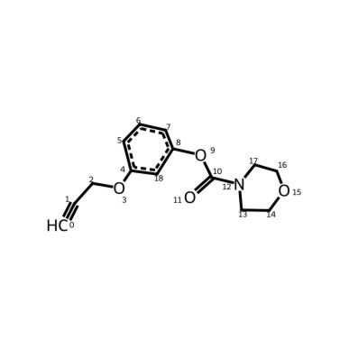 C#CCOc1cccc(OC(=O)N2CCOCC2)c1